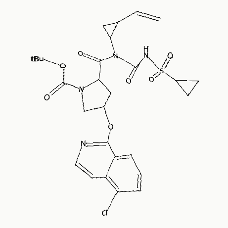 C=CC1CC1N(C(=O)NS(=O)(=O)C1CC1)C(=O)C1CC(Oc2nccc3c(Cl)cccc23)CN1C(=O)OC(C)(C)C